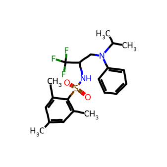 Cc1cc(C)c(S(=O)(=O)NC(CN(c2ccccc2)C(C)C)C(F)(F)F)c(C)c1